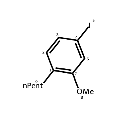 CCCCCc1ccc(I)cc1OC